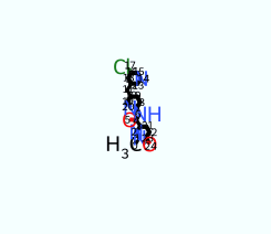 Cn1nc(C(=O)Nc2ccc(Cc3cncc(Cl)c3)cn2)ccc1=O